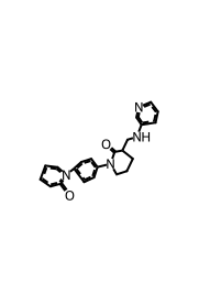 O=C1C(CNc2cccnc2)CCCN1c1ccc(-n2ccccc2=O)cc1